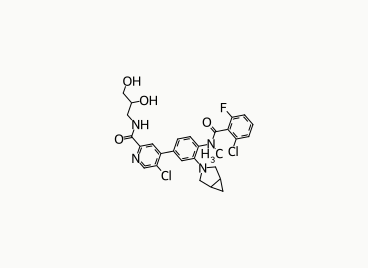 CN(C(=O)c1c(F)cccc1Cl)c1ccc(-c2cc(C(=O)NCC(O)CO)ncc2Cl)cc1N1CC2CC2C1